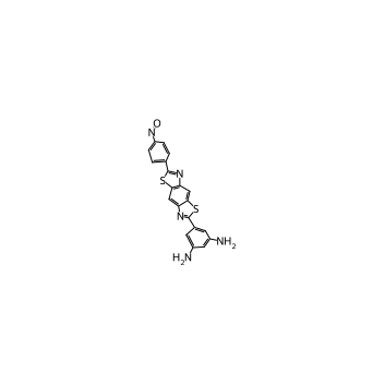 Nc1cc(N)cc(-c2nc3cc4sc(-c5ccc(N=O)cc5)nc4cc3s2)c1